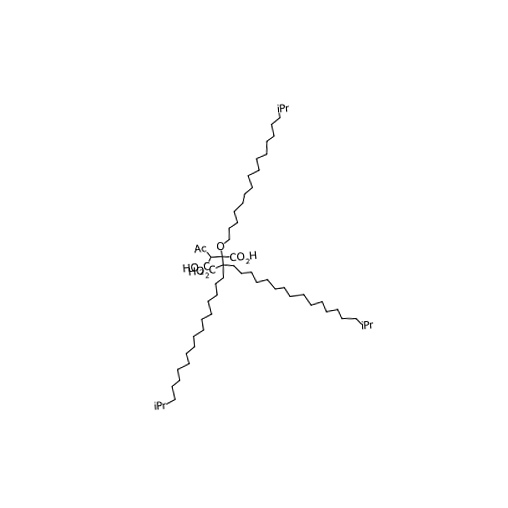 CC(=O)C(C(=O)O)C(OCCCCCCCCCCCCCCCC(C)C)(C(=O)O)C(CCCCCCCCCCCCCCCC(C)C)(CCCCCCCCCCCCCCCC(C)C)C(=O)O